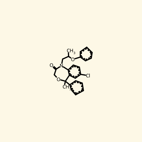 CC(CN1C(=O)COC(C)(c2ccccc2)c2cc(Cl)ccc21)Oc1ccccc1